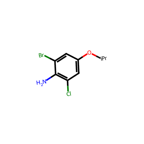 CC(C)Oc1cc(Cl)c(N)c(Br)c1